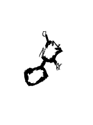 Clc1ncc(Br)c(-c2ccccc2)n1